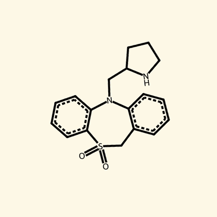 O=S1(=O)Cc2ccccc2N(CC2CCCN2)c2ccccc21